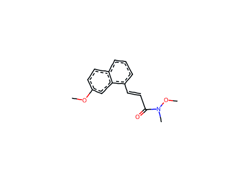 COc1ccc2cccc(C=CC(=O)N(C)OC)c2c1